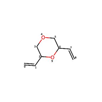 C=CC1COCC(C=C)O1